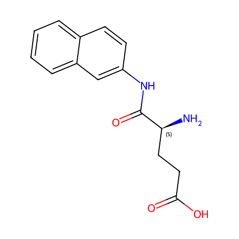 N[C@@H](CCC(=O)O)C(=O)Nc1ccc2ccccc2c1